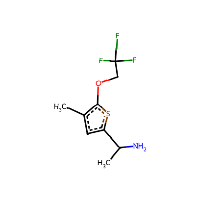 Cc1cc(C(C)N)sc1OCC(F)(F)F